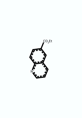 CCOC(=O)c1ccc2ncccc2c1